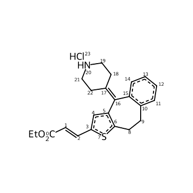 CCOC(=O)C=Cc1cc2c(s1)CCc1ccccc1C2=C1CCNCC1.Cl